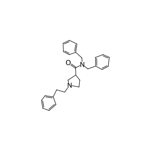 O=C(C1CCN(CCc2ccccc2)C1)N(Cc1ccccc1)Cc1ccccc1